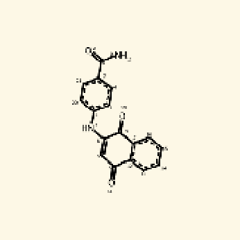 NC(=O)c1ccc(NC2=CC(=O)c3ccccc3C2=O)cc1